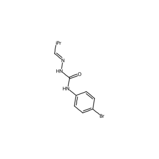 CC(C)/C=N/NC(=O)Nc1ccc(Br)cc1